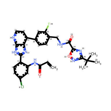 C=CC(=O)Nc1cc(Cl)ccc1-c1nc2c(-c3ccc(CNC(=O)c4nc(C(C)(C)C)no4)c(F)c3)ccnc2[nH]1